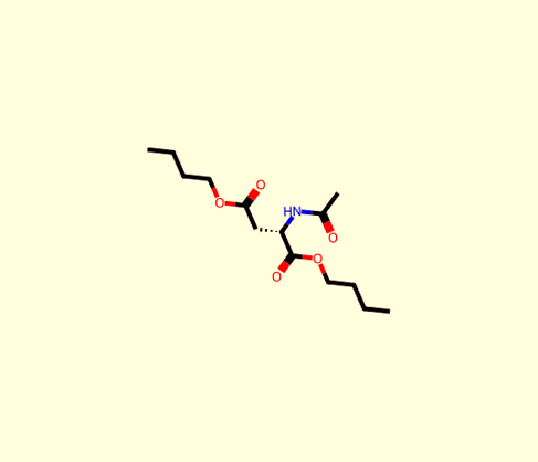 CCCCOC(=O)C[C@H](NC(C)=O)C(=O)OCCCC